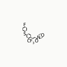 O=C(/C=C/c1ccc(Sc2ccc(F)cc2)cc1C(F)(F)F)N1CCOCC1